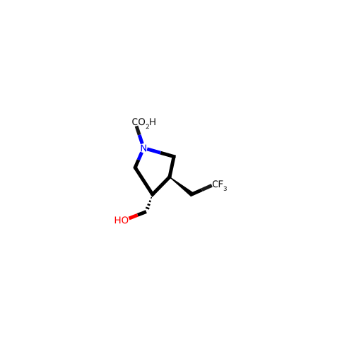 O=C(O)N1C[C@@H](CO)[C@H](CC(F)(F)F)C1